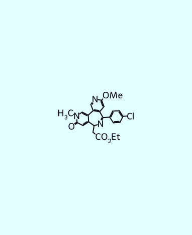 CCOC(=O)CC1N=C(c2ccc(Cl)cc2)c2cc(OC)ncc2-c2cn(C)c(=O)cc21